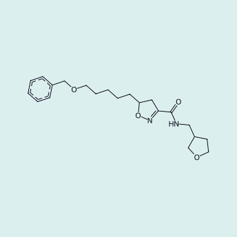 O=C(NCC1CCOC1)C1=NOC(CCCCCOCc2ccccc2)C1